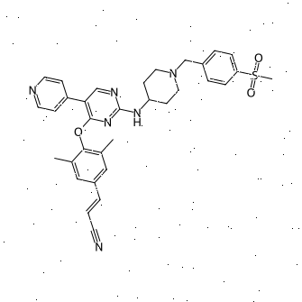 Cc1cc(/C=C/C#N)cc(C)c1Oc1nc(NC2CCN(Cc3ccc(S(C)(=O)=O)cc3)CC2)ncc1-c1ccncc1